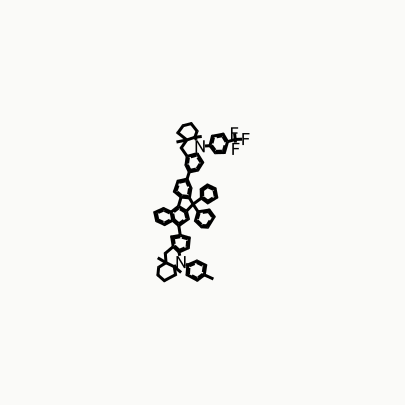 Cc1ccc(N2c3ccc(-c4cc5c(c6ccccc46)-c4ccc(-c6ccc7c(c6)CC6(C)CCCCC6(C)N7c6ccc(C(F)(F)F)cc6)cc4C5(c4ccccc4)c4ccccc4)cc3CC3(C)CCCCC23C)cc1